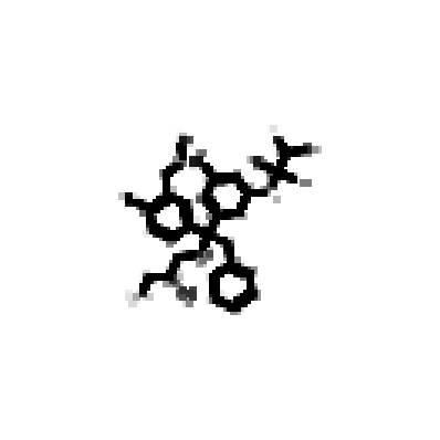 CC(C)NCc1cc([C@@](Cc2ccccc2)(NC[C@H](O)CC(F)(F)F)C2=CC(F)=CC(OC(F)(F)C(F)F)C2)ccc1F